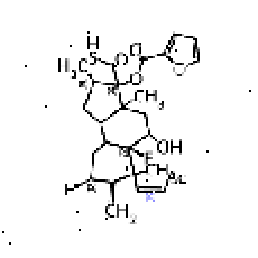 C=C1[C@@H](F)CC2C3C[C@@H](C)[C@](OC(=O)c4ccco4)(C(=O)S)C3(C)CC(O)[C@]2(F)C1(C)/C=C\C(C)=O